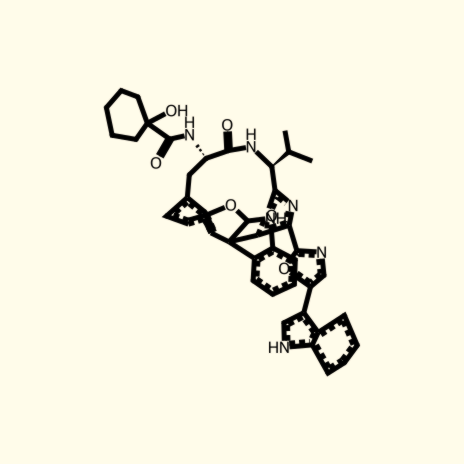 CC(C)[C@@H]1NC(=O)[C@@H](NC(=O)C2(O)CCCCC2)Cc2ccc3c(c2)C2(c4ccccc4NC2O3)c2oc1nc2-c1ncc(-c2c[nH]c3ccccc23)o1